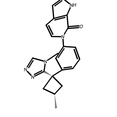 Cn1cnnc1[C@]1(c2cccc(-n3ccc4cc[nH]c4c3=O)c2)C[C@H](C)C1